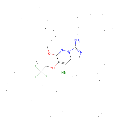 Br.COc1nn2c(N)ncc2cc1OCC(F)(F)F